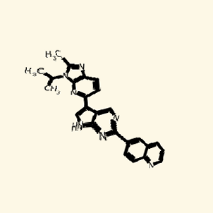 Cc1nc2ccc(-c3c[nH]c4nc(-c5ccc6ncccc6c5)ncc34)nc2n1C(C)C